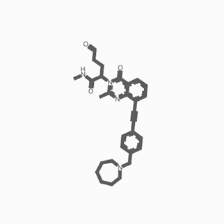 CNC(=O)C(CCC=O)n1c(C)nc2c(C#Cc3ccc(CN4CCCCCC4)cc3)cccc2c1=O